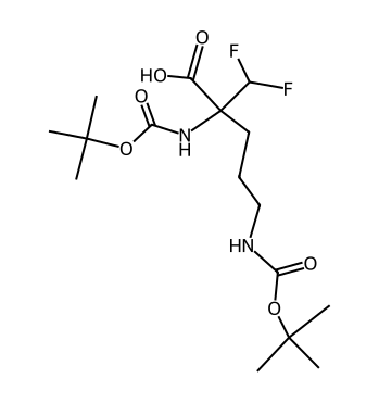 CC(C)(C)OC(=O)NCCCC(NC(=O)OC(C)(C)C)(C(=O)O)C(F)F